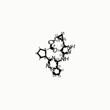 COC(=O)[C@H]1CCCC1c1nc(Nc2cc(C3CC3)[nH]n2)c2cccn2n1